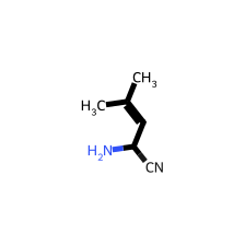 CC(C)=CC(N)C#N